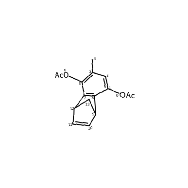 CC(=O)Oc1cc(C)c(OC(C)=O)c2c1C1C=CC2C1